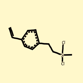 C=Cc1ccc(CC[Si](C)(Cl)Cl)cc1